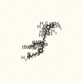 Cc1c(C)c(S(=O)(=O)NC(=N)NCCC[C@H](NC(=O)CNC(=O)[C@@H](N)COC(C)(C)C)C(=O)OCc2ccc(OCCCCC(N)=O)cc2)c(C)c2c1OC(C)(C)C2